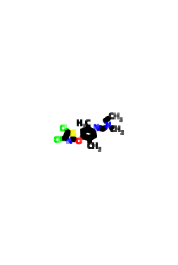 CCN(C)/C=N/c1cc(C)c(Oc2nc(Cl)c(Cl)s2)cc1C